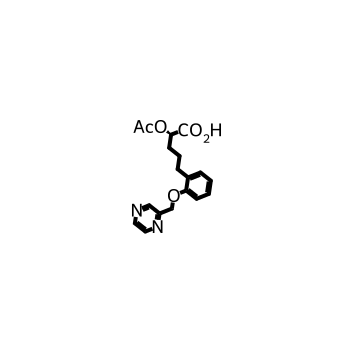 CC(=O)O[C@H](CCCc1ccccc1OCc1cnccn1)C(=O)O